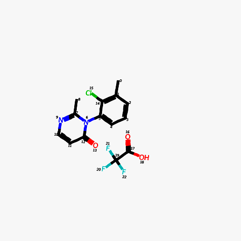 Cc1cccc(-n2c(C)nccc2=O)c1Cl.O=C(O)C(F)(F)F